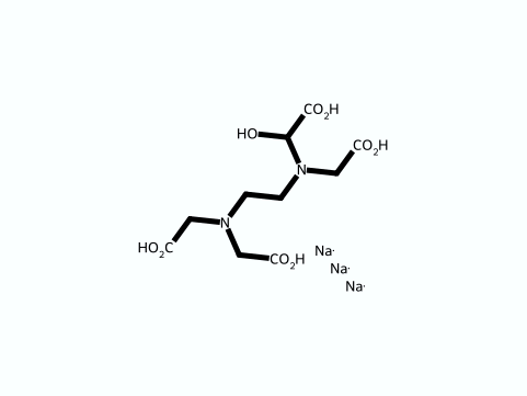 O=C(O)CN(CCN(CC(=O)O)C(O)C(=O)O)CC(=O)O.[Na].[Na].[Na]